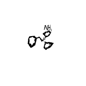 N.c1ccc(CCP(c2ccccc2)c2ccccc2)cc1